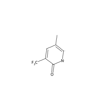 CC1=[C][N]C(=O)C(C(F)(F)F)=C1